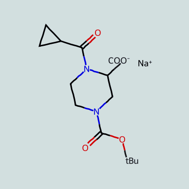 CC(C)(C)OC(=O)N1CCN(C(=O)C2CC2)C(C(=O)[O-])C1.[Na+]